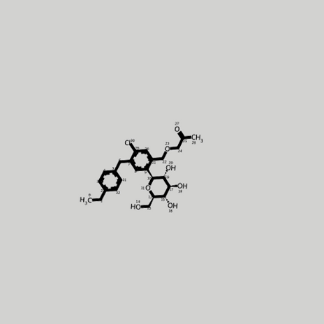 CCc1ccc(Cc2cc([C@@H]3O[C@H](CO)[C@@H](O)[C@H](O)[C@H]3O)c(COCC(C)=O)cc2Cl)cc1